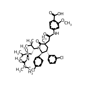 COc1cc(NC(=O)C[C@@]2(C)C[C@H](c3cccc(Cl)c3)[C@@H](c3ccc(Cl)cc3)N([C@H](CS(=O)(=NC(=O)N(C)C)C(C)C)C(C)C)C2=O)ccc1C(=O)O